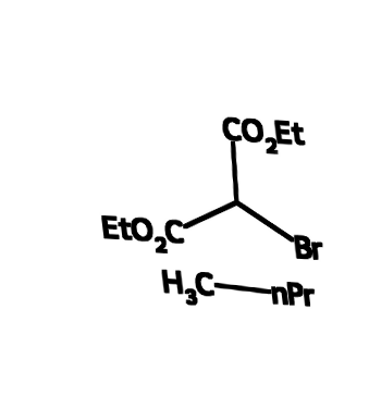 CCCC.CCOC(=O)C(Br)C(=O)OCC